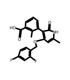 Cc1cc(OCc2ccc(F)cc2F)c(-c2cccc(C(=O)O)c2C)c(=O)[nH]1